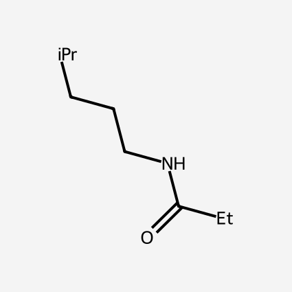 CCC(=O)NCCCC(C)C